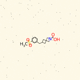 CS(=O)(=O)c1cccc(CC2CC3(C2)CN(C(=O)O)C3)c1